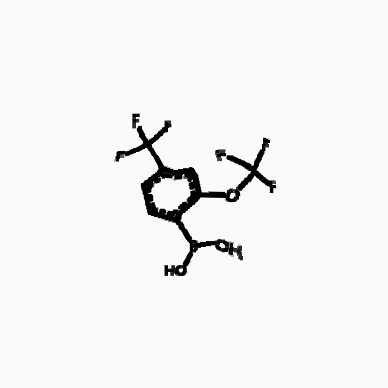 OB(O)c1ccc(C(F)(F)F)cc1OC(F)(F)F